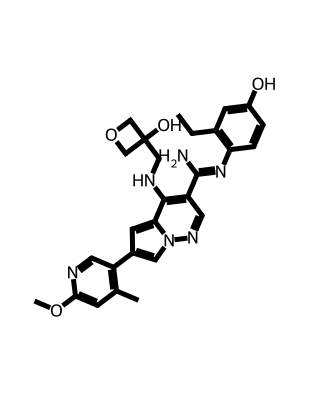 CCc1cc(O)ccc1/N=C(\N)c1cnn2cc(-c3cnc(OC)cc3C)cc2c1NCC1(O)COC1